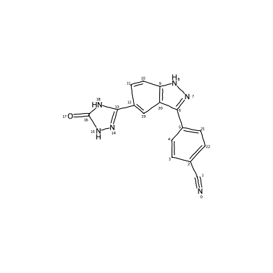 N#Cc1ccc(-c2n[nH]c3ccc(-c4n[nH]c(=O)[nH]4)cc23)cc1